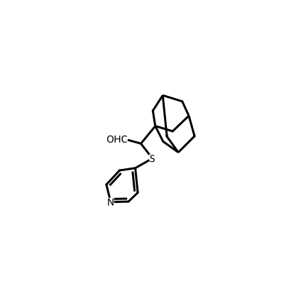 O=CC(Sc1ccncc1)C12CC3CC(CC(C3)C1)C2